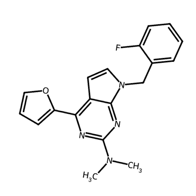 CN(C)c1nc(-c2ccco2)c2ccn(Cc3ccccc3F)c2n1